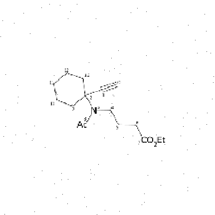 C#CC1(N(CCCC(=O)OCC)C(C)=O)CCCCC1